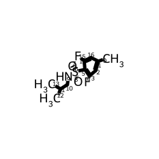 Cc1cc(F)c(S(=O)(=O)NCC(C)C)c(F)c1